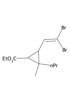 CCCC1(C)C(C=C(Br)Br)C1C(=O)OCC